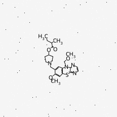 CCC(C)C(=O)OC1CCN(Cc2cc3c(cc2OC)Sc2nccnc2N3COC)CC1